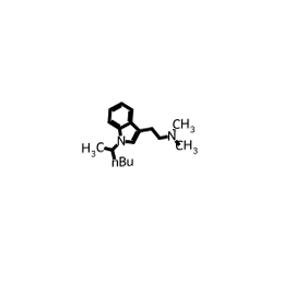 CCCCC(C)n1cc(CCN(C)C)c2ccccc21